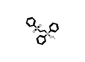 C[Si](CCS(=O)(=O)c1ccccc1)(c1ccccc1)c1ccccc1